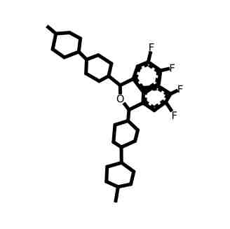 CC1CCC(C2CCC(C(OC(c3ccc(F)c(F)c3)C3CCC(C4CCC(C)CC4)CC3)c3ccc(F)c(F)c3)CC2)CC1